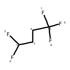 FC(F)CCC(F)(F)F